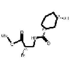 CC[C@@H](CNC(=O)[C@@H]1CCC[C@H](O)C1)C(=O)OC(C)(C)C